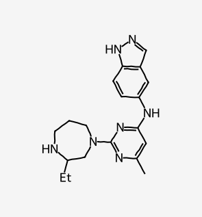 CCC1CN(c2nc(C)cc(Nc3ccc4[nH]ncc4c3)n2)CCCN1